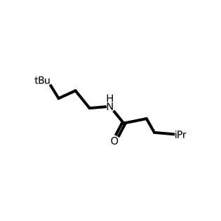 CC(C)CCC(=O)NCCCC(C)(C)C